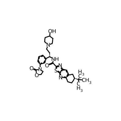 CC(C)(C)[C@H]1CCc2nc3sc(C(=O)N[C@H](CCN4CCC(O)CC4)c4cccc(N5CCOC5=O)c4)nc3cc2C1